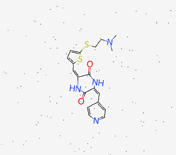 CN(C)CCSc1ccc(C=c2[nH]c(=O)c(=Cc3ccncc3)[nH]c2=O)s1